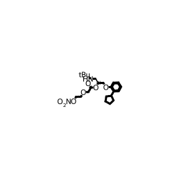 CC(C)(C)NC[C@@H](COc1ccccc1C1CCCC1)OC(=O)COCCO[N+](=O)[O-]